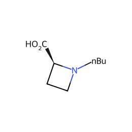 CCCCN1CC[C@H]1C(=O)O